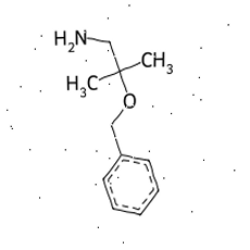 CC(C)(CN)OCc1ccccc1